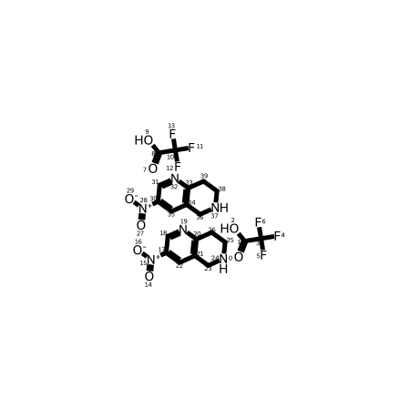 O=C(O)C(F)(F)F.O=C(O)C(F)(F)F.O=[N+]([O-])c1cnc2c(c1)CNCC2.O=[N+]([O-])c1cnc2c(c1)CNCC2